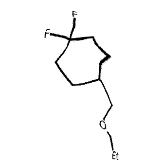 CCOCC1CCC(F)(F)CC1